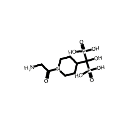 NCC(=O)N1CCC(C(O)(P(=O)(O)O)P(=O)(O)O)CC1